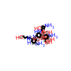 NC1CC(O)(C(=O)N[C@@H]2C[C@H](N)C(O[C@H]3O[C@H](CNCCCO)CC[C@H]3N)[C@H](O)[C@H]2O[C@H]2O[C@H](CO)[C@@H](O)[C@H](N)[C@H]2O)C1